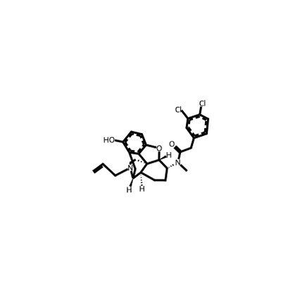 C=CCN1CC[C@@]23c4c5ccc(O)c4C[C@@H]1[C@@H]2CC[C@@H](N(C)C(=O)Cc1ccc(Cl)c(Cl)c1)[C@H]3O5